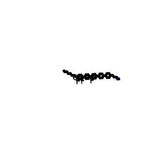 C/C=C/CCC1CCC(C2CCC(c3ccc(-c4ccc(-c5ccc(OCCCCCCC)c(F)c5F)cc4)c(F)c3)CC2)CC1